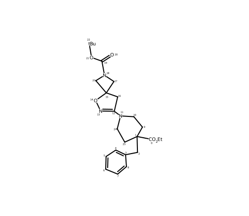 CCOC(=O)C1(Cc2ccccc2)CCN(C2=NOC3(C2)CN(C(=O)OC(C)(C)C)C3)CC1